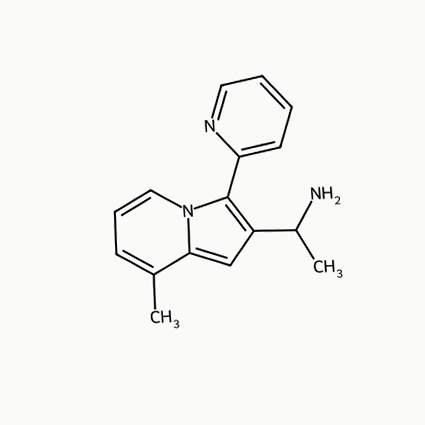 Cc1cccn2c(-c3ccccn3)c(C(C)N)cc12